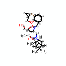 C[C@@H]1[C@@H](NC[C@@H]2[C@H]([C@H](C)O)[C@H](CO)ON2Cc2cccc(Br)c2OCC2CC2)C[C@H]2C[C@@H]1C2(C)C